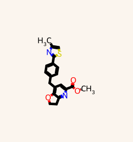 COC(=O)c1cc(Cc2ccc(-c3nc(C)cs3)cc2)c2c(n1)CCO2